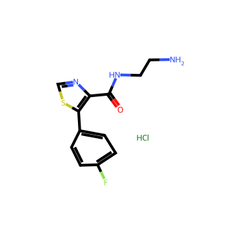 Cl.NCCNC(=O)c1ncsc1-c1ccc(F)cc1